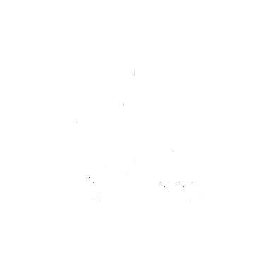 O=C(NCl)c1cccc(OCF)c1COc1ccn(O)n1